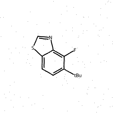 CC(C)(C)c1ccc2scnc2c1F